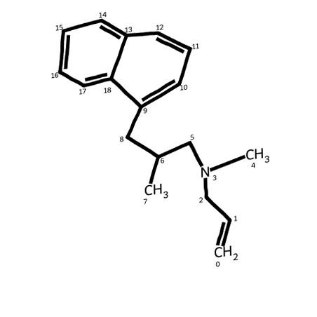 C=CCN(C)CC(C)Cc1cccc2ccccc12